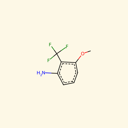 COc1cccc(N)c1C(F)(F)F